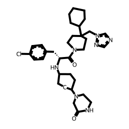 O=C1CN(C2CCC(N[C@H](Cc3ccc(Cl)cc3)C(=O)N3CCC(Cn4cncn4)(C4CCCCC4)CC3)CC2)CCN1